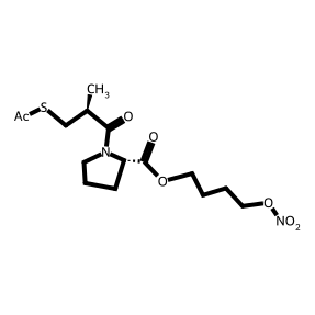 CC(=O)SC[C@@H](C)C(=O)N1CCC[C@H]1C(=O)OCCCCO[N+](=O)[O-]